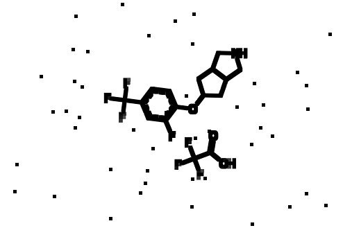 Fc1cc(C(F)(F)F)ccc1OC1CC2CNCC2C1.O=C(O)C(F)(F)F